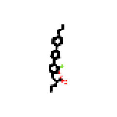 CCCc1ccc(-c2ccc(-c3ccc4c(c3F)OC(=O)C(CCC)C4)cc2)cc1